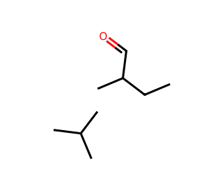 CC(C)C.CCC(C)C=O